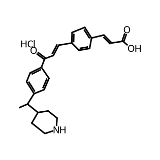 CC(c1ccc(C(=O)C=Cc2ccc(C=CC(=O)O)cc2)cc1)C1CCNCC1.Cl